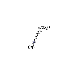 O=NC/C=C/CCCCCCCCCC(=O)O